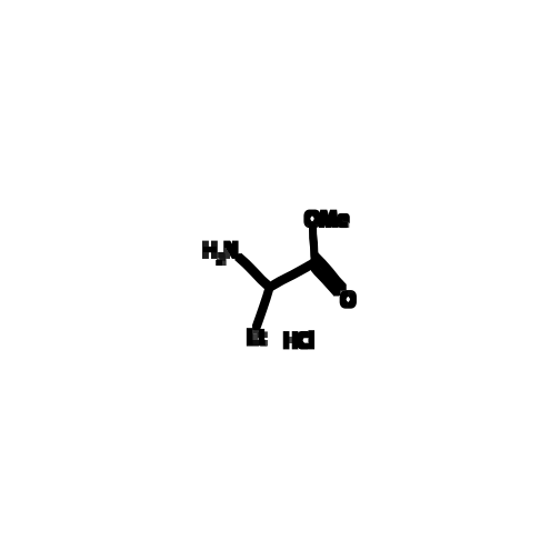 CCC(N)C(=O)OC.Cl